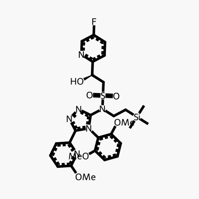 COc1cccc(-c2nnc(N(CC[Si](C)(C)C)S(=O)(=O)C[C@@H](O)c3ccc(F)cn3)n2-c2c(OC)cccc2OC)n1